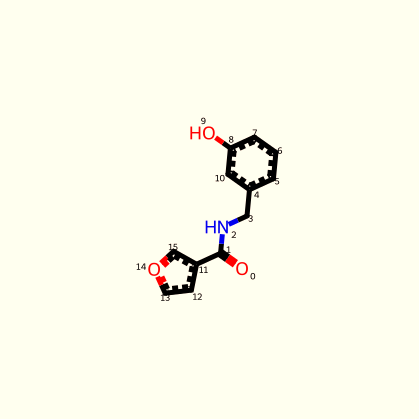 O=C(NCc1cccc(O)c1)c1ccoc1